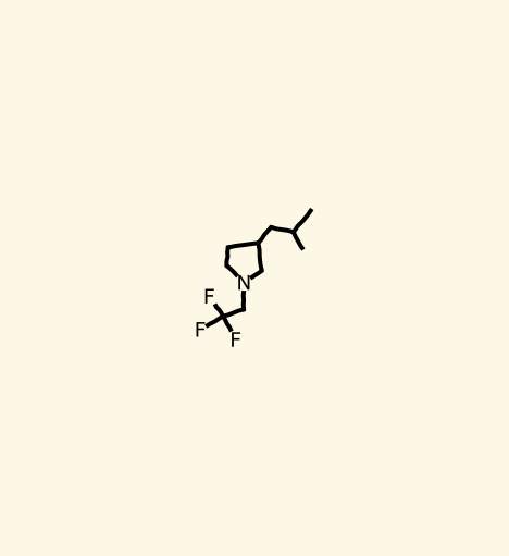 CC(C)CC1CCN(CC(F)(F)F)C1